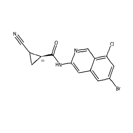 N#CC1C[C@@H]1C(=O)Nc1cc2cc(Br)cc(Cl)c2cn1